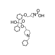 O=C(O)N1CC(COc2cccc([C@](O)(C(=O)OCC3CCN(Cc4ccccc4)CC3)c3ccccc3)c2)C1